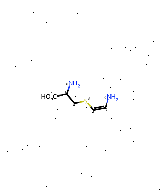 N/C=C\SC[C@H](N)C(=O)O